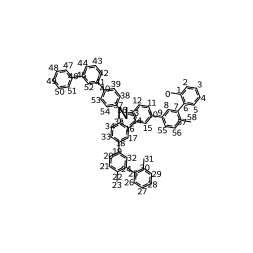 Cc1ccccc1-c1cc(-c2ccc3c(c2)c2cc(-c4ccc(C)c(-c5ccccc5C)c4)ccc2n3-c2ccc(-c3cccc(-c4ccccc4)c3)cc2)ccc1C